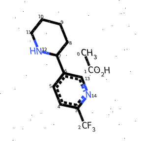 CC(=O)O.FC(F)(F)c1ccc(C2CCCCN2)cn1